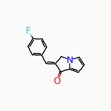 O=C1C(=Cc2ccc(F)cc2)Cn2cccc21